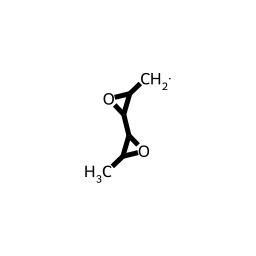 [CH2]C1OC1C1OC1C